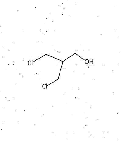 OCC(CCl)CCl